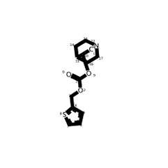 O=C(OCc1cccs1)OC1CN2CCC1CC2